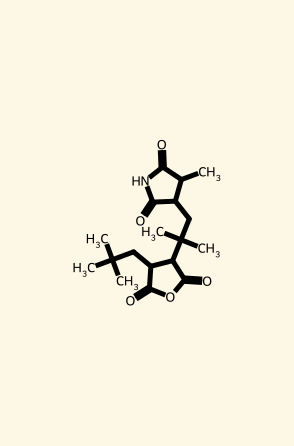 CC1C(=O)NC(=O)C1CC(C)(C)C1C(=O)OC(=O)C1CC(C)(C)C